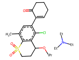 CCN(CC)CC.Cc1cc(C2=CCCCC2=O)c(Cl)c2c1S(=O)(=O)CCC2OC(C)C